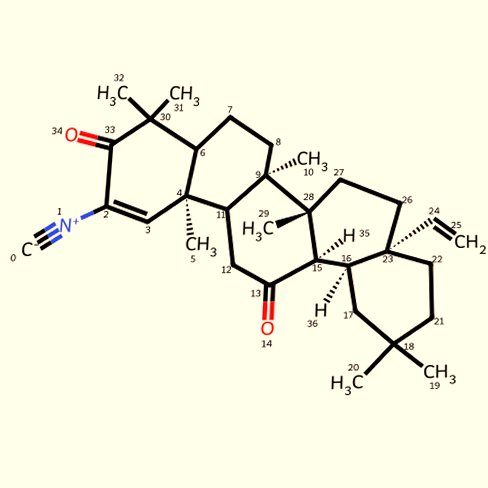 [C-]#[N+]C1=C[C@@]2(C)C(CC[C@]3(C)C2CC(=O)[C@@H]2[C@@H]4CC(C)(C)CC[C@]4(C=C)CC[C@]23C)C(C)(C)C1=O